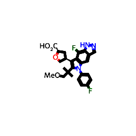 COCC(C)(C)c1c([C@H]2CO[C@H](C(=O)O)C2)c2c(F)c3[nH]ncc3cc2n1-c1ccc(F)cc1